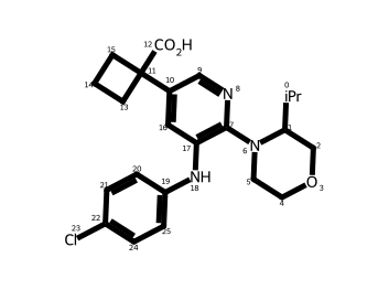 CC(C)C1COCCN1c1ncc(C2(C(=O)O)CCC2)cc1Nc1ccc(Cl)cc1